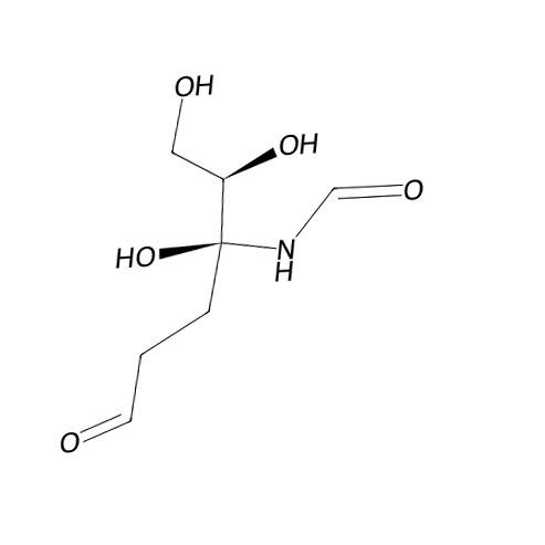 O=CCC[C@@](O)(NC=O)[C@H](O)CO